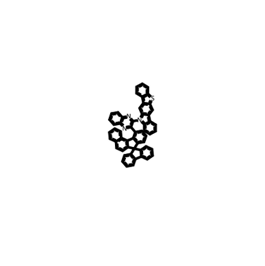 c1ccc2c(c1)-c1ccccc1C21c2cccc(-c3nc4ccccc4nc3-n3c4ccccc4c4cc5sc6ccccc6c5cc43)c2-c2c1ccc1ccccc21